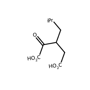 CC(C)CC(CC(=O)O)C(=O)C(=O)O